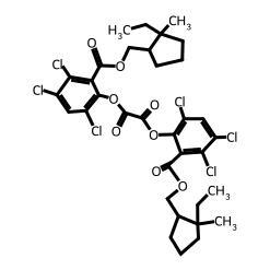 CCC1(C)CCCC1COC(=O)c1c(Cl)c(Cl)cc(Cl)c1OC(=O)C(=O)Oc1c(Cl)cc(Cl)c(Cl)c1C(=O)OCC1CCCC1(C)CC